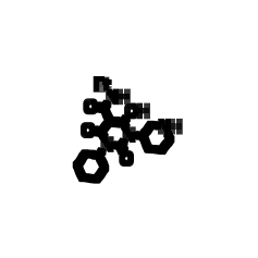 CCNC(=O)c1c(O)n(C2CCCNC2)c(=O)n(C2CCCCC2)c1=O